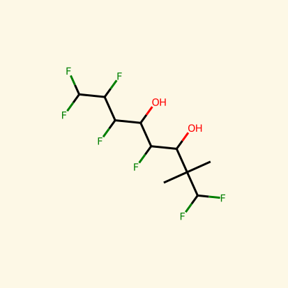 CC(C)(C(F)F)C(O)C(F)C(O)C(F)C(F)C(F)F